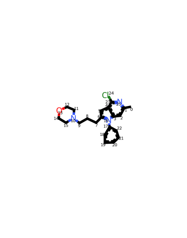 Cc1cc2c(cc(CCCN3CCOCC3)n2-c2ccccc2)c(Cl)n1